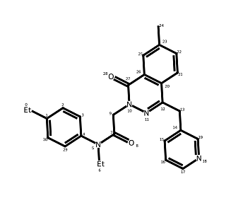 CCc1ccc(N(CC)C(=O)Cn2nc(Cc3cccnc3)c3ccc(C)cc3c2=O)cc1